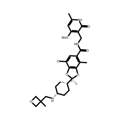 CSc1cc(C)[nH]c(=O)c1CNC(=O)c1cc(Cl)c2c(c1C)O[C@@](C)([C@H]1CC[C@@H](NCC3(C)COC3)CC1)O2